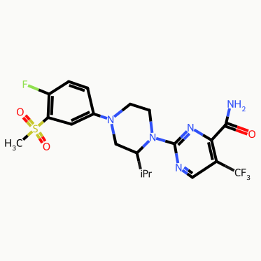 CC(C)C1CN(c2ccc(F)c(S(C)(=O)=O)c2)CCN1c1ncc(C(F)(F)F)c(C(N)=O)n1